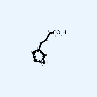 O=C(O)CCCc1cc[nH]c1